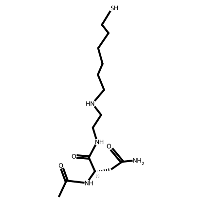 CC(=O)N[C@@H](CC(N)=O)C(=O)NCCNCCCCCCS